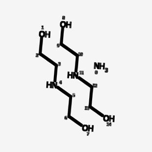 N.OCCNCCO.OCCNCCO